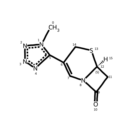 Cn1nnnc1C1=CN2C(=O)C[C@@H]2SC1